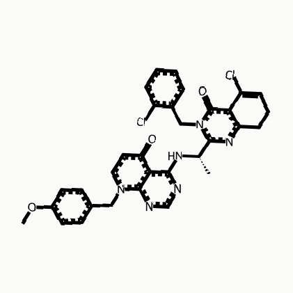 COc1ccc(Cn2ccc(=O)c3c(N[C@@H](C)c4nc5c(c(=O)n4Cc4ccccc4Cl)C(Cl)=CCC5)ncnc32)cc1